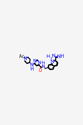 CC(=O)N1CCC(Nc2cc(C(=O)NCc3ccc4ccc(C(=N)N)nc4c3)ncn2)CC1